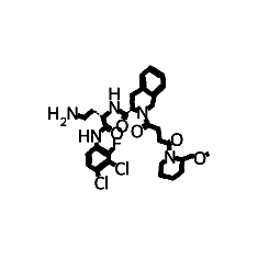 COCC1CCCCN1C(=O)CCC(=O)N1Cc2ccccc2C[C@H]1C(=O)N[C@@H](CCN)C(=O)Nc1ccc(Cl)c(Cl)c1F